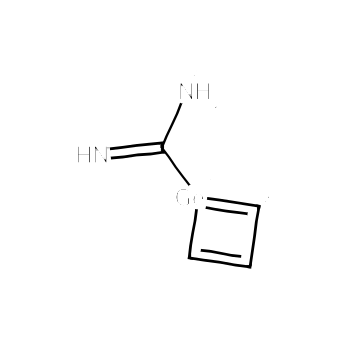 N=[C](N)[Ge]1=[CH]C=[CH]1